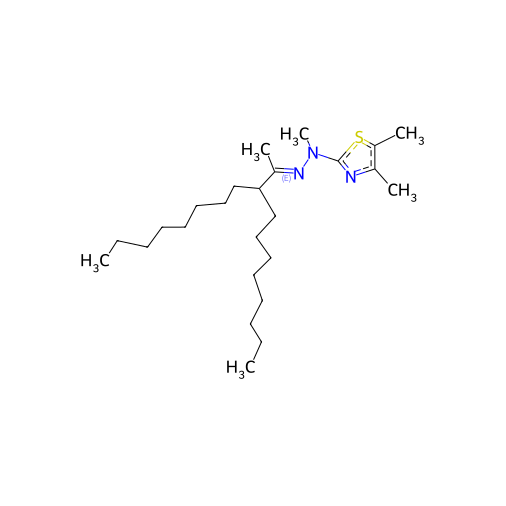 CCCCCCCCC(CCCCCCCC)/C(C)=N/N(C)c1nc(C)c(C)s1